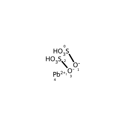 O=S(=O)([O-])O.O=S(=O)([O-])O.[Pb+2]